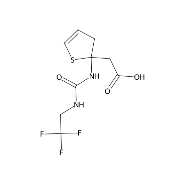 O=C(O)CC1(NC(=O)NCC(F)(F)F)CC=CS1